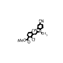 COC(=O)C1CC=C(Cl)C(Cc2nc3cc(C#N)ccc3n2C)=C1Cl